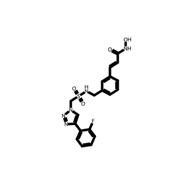 O=C(/C=C/c1cccc(CNS(=O)(=O)Cn2cc(-c3ccccc3F)nn2)c1)NO